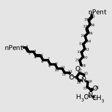 CCCCCC=CCC=CCCCCCCCCO[C@@H]1CN(CCC(=O)N(C)C)C[C@H]1OCCCCCCCCC=CCC=CCCCCC